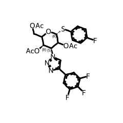 CC(=O)OCC1O[C@H](Sc2ccc(F)cc2)C(OC(C)=O)[C@@H](n2cc(-c3cc(F)c(F)c(F)c3)nn2)[C@H]1OC(C)=O